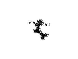 CCCCCCCCC1=C(c2c(CCCCCCCC)cc(-c3ccc(N(c4ccccc4)c4ccc(-c5ccc(N(c6ccccc6)c6ccc(C)cc6)cc5)cc4)cc3)c3ccccc23)C2C=CC=CC2C(C)=C1